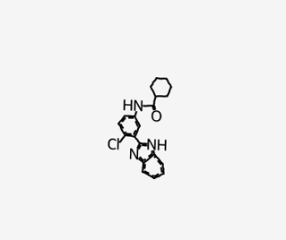 O=C(Nc1ccc(Cl)c(-c2nc3ccccc3[nH]2)c1)C1CCCCC1